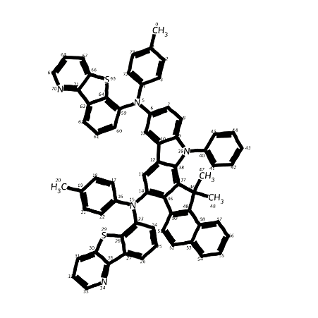 Cc1ccc(N(c2ccc3c(c2)c2cc(N(c4ccc(C)cc4)c4cccc5c4sc4cccnc45)c4c(c2n3-c2ccccc2)C(C)(C)c2c-4ccc3ccccc23)c2cccc3c2sc2cccnc23)cc1